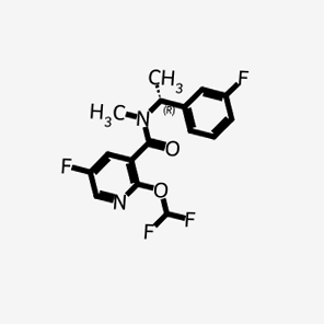 C[C@H](c1cccc(F)c1)N(C)C(=O)c1cc(F)cnc1OC(F)F